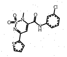 CN1C(C(=O)Nc2cccc(Cl)c2)=CC(c2cccs2)=NS1(=O)=O